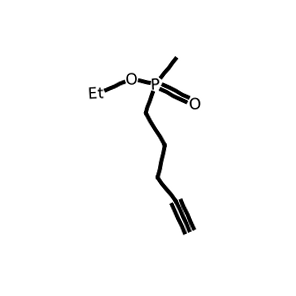 C#CCCCP(C)(=O)OCC